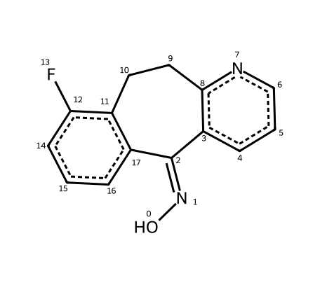 ON=C1c2cccnc2CCc2c(F)cccc21